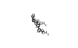 COc1cncc(-c2cc(C)c3c(n2)CN(c2ccn([C@H]4CCOC4)n2)C3=O)c1